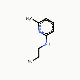 Cc1cccc(NCCC#N)n1